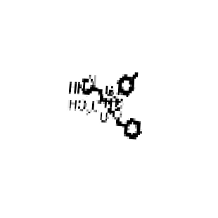 Cc1ccc(S(=O)(=O)N(C(=O)OCc2ccccc2)C(Cc2c[nH]cn2)C(=O)O)cc1